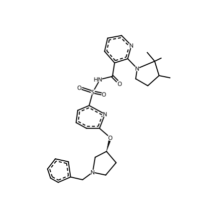 CC1CCN(c2ncccc2C(=O)NS(=O)(=O)c2cccc(O[C@H]3CCN(Cc4ccccc4)C3)n2)C1(C)C